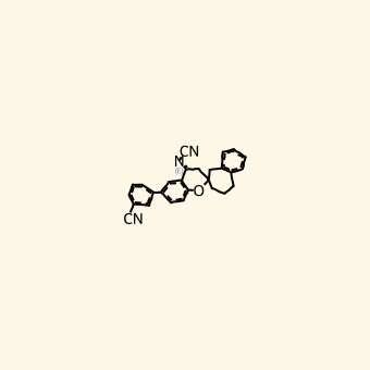 N#C/N=C1\CC2(CCCc3ccccc3C2)Oc2ccc(-c3cccc(C#N)c3)cc21